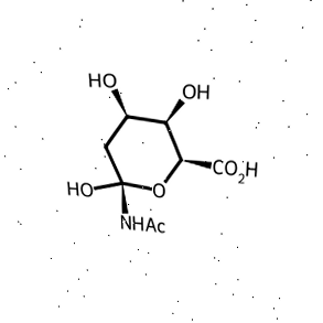 CC(=O)N[C@@]1(O)C[C@@H](O)[C@@H](O)[C@@H](C(=O)O)O1